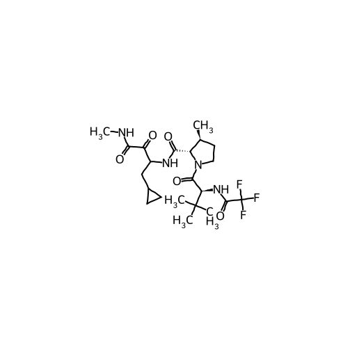 CNC(=O)C(=O)C(CC1CC1)NC(=O)[C@@H]1[C@@H](C)CCN1C(=O)[C@@H](NC(=O)C(F)(F)F)C(C)(C)C